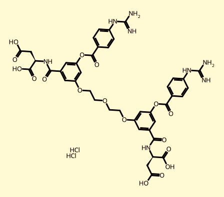 Cl.Cl.N=C(N)Nc1ccc(C(=O)Oc2cc(OCCOCCOc3cc(OC(=O)c4ccc(NC(=N)N)cc4)cc(C(=O)N[C@H](CC(=O)O)C(=O)O)c3)cc(C(=O)N[C@H](CC(=O)O)C(=O)O)c2)cc1